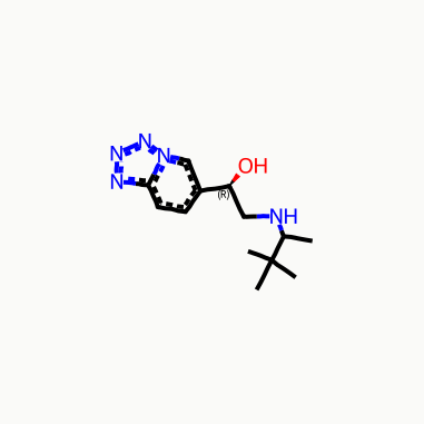 CC(NC[C@H](O)c1ccc2nnnn2c1)C(C)(C)C